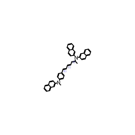 C\C(=C/C=C/C=C/c1ccc(N(C)c2ccc3ccccc3c2)cc1)N(c1ccc2ccccc2c1)c1ccc2ccccc2c1